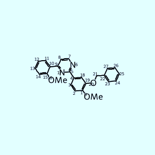 COc1ccc(-c2nccc(-c3ccccc3OC)n2)cc1OCc1ccccc1